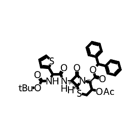 CC(=O)OC1CS[C@H]2[C@H](NC(=O)C(NC(=O)OC(C)(C)C)c3cccs3)C(=O)N2[C@H]1C(=O)OC(c1ccccc1)c1ccccc1